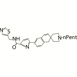 CCCCCN1CCC2(C=Cc3cc(-c4ccc(C(=O)NCc5cncs5)cn4)ccc3C2)CC1